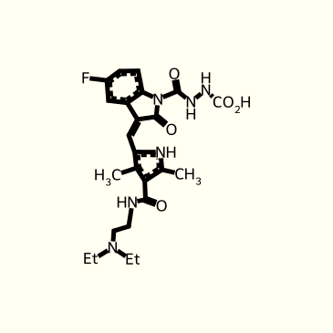 CCN(CC)CCNC(=O)c1c(C)[nH]c(C=C2C(=O)N(C(=O)NNC(=O)O)c3ccc(F)cc32)c1C